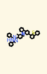 CC1CC(C)(N2C3CC(C4=C5SC6C=CC=CC6C5=CCC4)=CC=C3C3C=CC=CC32)C=CC1C1N=C(c2ccccc2)NC(C)(c2ccccc2)N1C